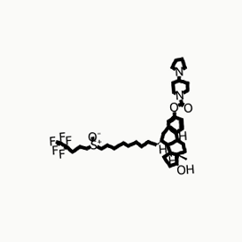 C[C@]12CC[C@@H]3c4ccc(OC(=O)N5CCC(N6CCCC6)CC5)cc4C[C@@H](CCCCCCCCC[S+]([O-])CCCC(F)(F)C(F)(F)F)[C@H]3[C@@H]1CC[C@@H]2O